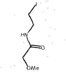 COCC(=O)NCCI